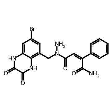 NC(=O)C(=CC(=O)N(N)Cc1cc(Br)cc2[nH]c(=O)c(=O)[nH]c12)c1ccccc1